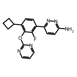 Nc1ccc(-c2ccc(C3CCC3)c(Oc3ncccn3)c2F)nn1